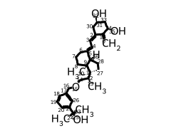 C=C1/C(=C\C=C2/CCC[C@]3(C)[C@@H]([C@@H](C)COCc4cccc(C(C)(C)O)c4)CC[C@@H]23)C[C@@H](O)C[C@@H]1O